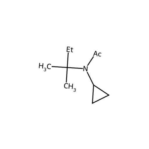 CCC(C)(C)N(C(C)=O)C1CC1